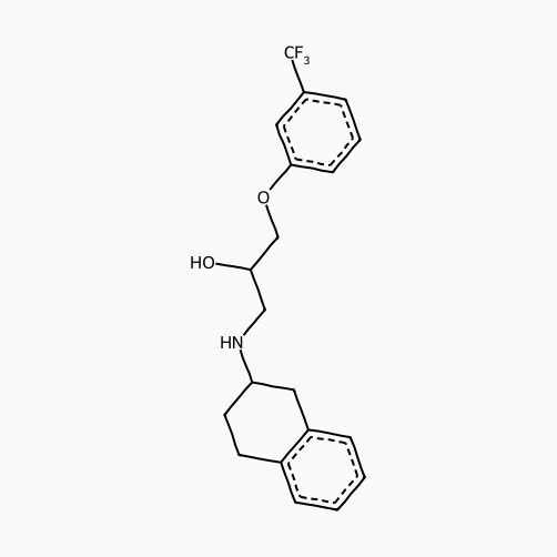 OC(CNC1CCc2ccccc2C1)COc1cccc(C(F)(F)F)c1